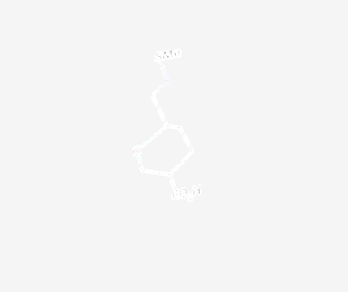 CSSCC1CCC(C(=O)O)CO1